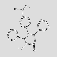 Cc1c(-c2ccccc2)n(-c2ccc([S+](C)[O-])cc2)c(-c2ccccc2)cc1=O